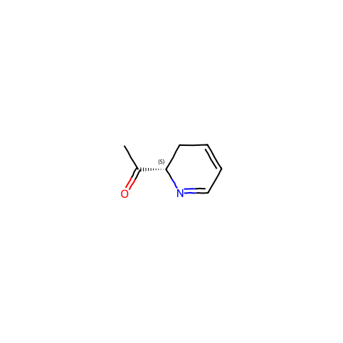 CC(=O)[C@@H]1CC=CC=N1